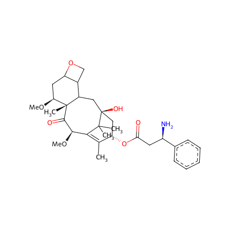 CO[C@H]1C(=O)[C@@]2(C)C(C[C@]3(O)C[C@H](OC(=O)C[C@@H](N)c4ccccc4)C(C)=C1C3(C)C)C1COC1C[C@@H]2OC